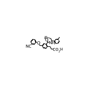 Cc1cccc(C(CC(C)C)NC(=O)c2cc(COc3cccc(C#N)c3)ccc2CCC(=O)O)c1